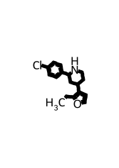 CCc1occc1C1CCNC(c2ccc(Cl)cc2)C1